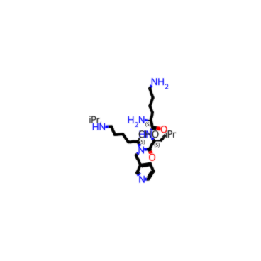 CC(C)C[C@H](NC(=O)[C@@H](N)CCCCN)C(=O)N(Cc1cccnc1)[C@H]([C]=O)CCCCNC(C)C